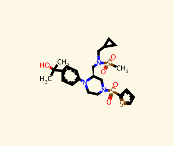 CC(C)(O)c1ccc(N2CCN(S(=O)(=O)c3cccs3)C[C@@H]2CN(CC2CC2)S(C)(=O)=O)cc1